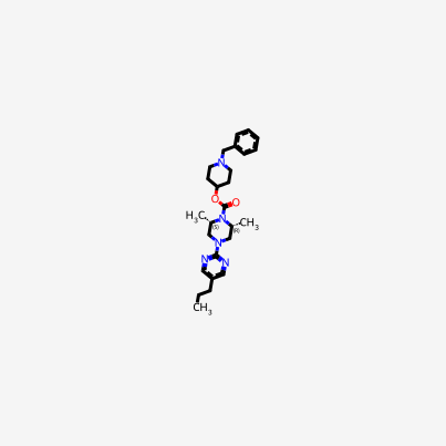 CCCc1cnc(N2C[C@@H](C)N(C(=O)OC3CCN(Cc4ccccc4)CC3)[C@@H](C)C2)nc1